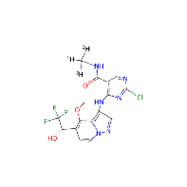 [2H]C([2H])([2H])NC(=O)c1cnc(Cl)nc1Nc1cnn2ccc([C@H](O)C(F)(F)F)c(OC)c12